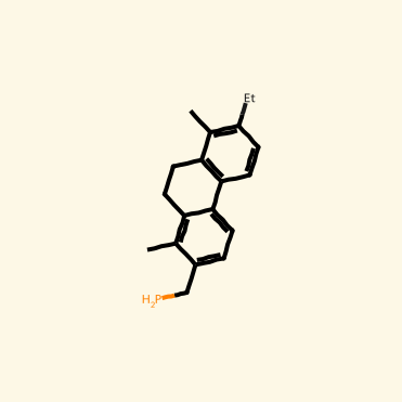 CCc1ccc2c(c1C)CCc1c-2ccc(CP)c1C